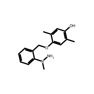 Cc1cc(OCc2ccccc2N(C)N)c(C)cc1O